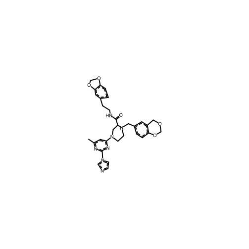 Cc1cc(N2CCN(Cc3ccc4c(c3)COCO4)C(C(=O)NCCc3ccc4c(c3)OCO4)C2)nc(-n2ccnc2)n1